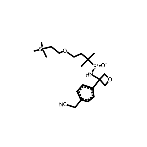 CC(C)(CCOCC[Si](C)(C)C)[S+]([O-])NC1(c2ccc(CC#N)cc2)COC1